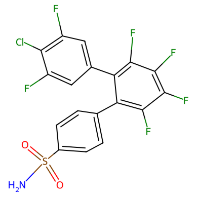 NS(=O)(=O)c1ccc(-c2c(F)c(F)c(F)c(F)c2-c2cc(F)c(Cl)c(F)c2)cc1